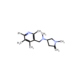 C=C1C[C@@H](N(C)Cc2c(C)nc(C(C)C)c(C)c2C)CN1C